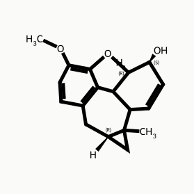 COc1ccc2c3c1O[C@@H]1C3C(C=C[C@@H]1O)C1(C)C[C@@H]1C2